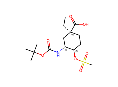 CC[C@]1(C(=O)O)CC[C@@H](OS(C)(=O)=O)[C@H](NC(=O)OC(C)(C)C)C1